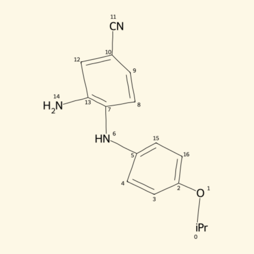 CC(C)Oc1ccc(Nc2ccc(C#N)cc2N)cc1